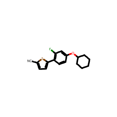 N#Cc1ccc(-c2ccc(OC3[CH]CCCC3)cc2F)s1